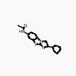 CC(=O)Nc1ccc2c(c1)sc1nc(-c3ccccc3)cn12